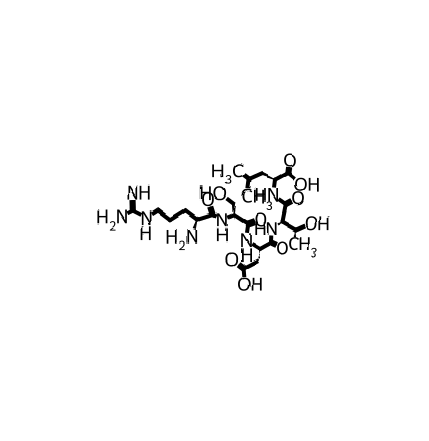 CC(C)C[C@H](NC(=O)[C@@H](NC(=O)[C@H](CC(=O)O)NC(=O)[C@H](CO)NC(=O)[C@@H](N)CCCNC(=N)N)[C@@H](C)O)C(=O)O